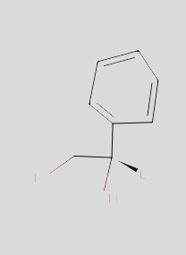 CC[C@@](O)(CO)c1ccccc1